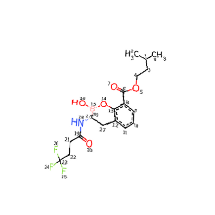 CC(C)CCOC(=O)c1cccc2c1OB(O)[C@@H](NC(=O)CCC(F)(F)F)C2